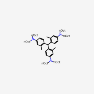 CCCCCCCCN(CCCCCCCC)c1ccc(C(c2ccc(N(CCCCCCCC)CCCCCCCC)cc2C)c2ccc(N(CCCCCCCC)CCCCCCCC)cc2C)c(C)c1